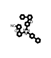 N#Cc1cccc2c1oc1cccc(-c3nc(-c4ccc(-c5ccccc5)cc4)nc(-c4ccc5c(c4)oc4cccc(-c6ccccc6)c45)n3)c12